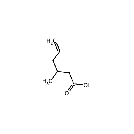 C=CCC(C)CS(=O)O